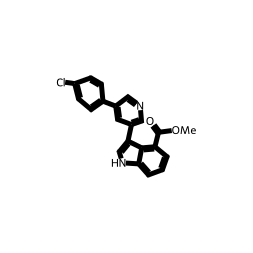 COC(=O)c1cccc2[nH]cc(-c3cncc(-c4ccc(Cl)cc4)c3)c12